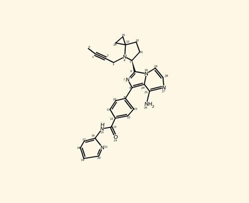 CC#CCN1[C@H](c2nc(-c3ccc(C(=O)Nc4ccccn4)cc3)c3c(N)nccn23)CCC12CC2